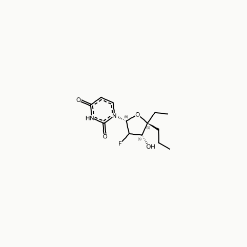 CCC[C@]1(CC)O[C@@H](n2ccc(=O)[nH]c2=O)C(F)[C@H]1O